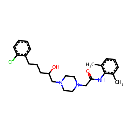 Cc1cccc(C)c1NC(=O)CN1CCN(CC(O)CCCc2ccccc2Cl)CC1